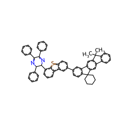 CC1(C)c2ccccc2-c2cc3c(cc21)-c1cc(-c2ccc4sc5c(C6N=C(c7ccccc7)C(c7ccccc7)=NC6c6ccccc6)cccc5c4c2)ccc1C31CCCCC1